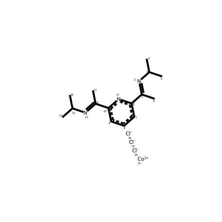 CC(=NC(C)C)c1cccc(C(C)=NC(C)C)n1.[Cl-].[Cl-].[Cl-].[Co+3]